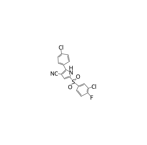 N#Cc1cc(S(=O)(=O)c2ccc(F)c(Cl)c2)[nH]c1-c1ccc(Cl)cc1